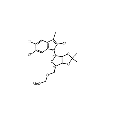 COCOC[C@H]1O[C@@H](n2c(Cl)c(I)c3cc(Cl)c(Cl)cc32)C2OC(C)(C)OC21